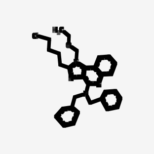 CCOCn1c(CCCCCl)nc2c(N(Cc3ccccc3)Cc3ccccc3)nc3ccccc3c21